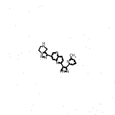 Cc1cccc(-c2n[nH]cc2-c2ccc3ncc(-c4nnn5c4CNCC5)cc3n2)n1